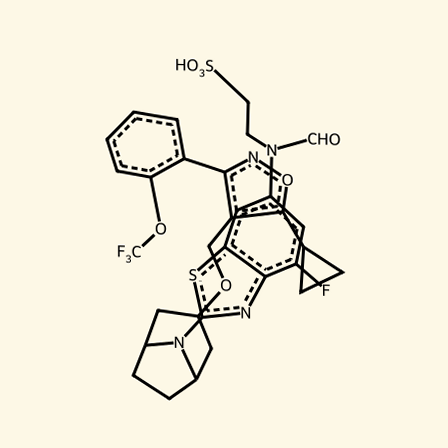 O=CN(CCS(=O)(=O)O)c1cc(F)c2nc(N3C4CCC3CC(OCc3c(-c5ccccc5OC(F)(F)F)noc3C3CC3)C4)sc2c1